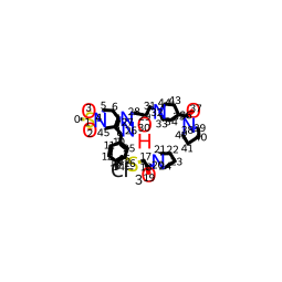 CS(=O)(=O)N1CCc2c(c(-c3ccc(C(F)(F)F)c(SCC(=O)N4CCCC4)c3)nn2CC(O)CN2CCC(C(=O)N3CCCC3)CC2)C1